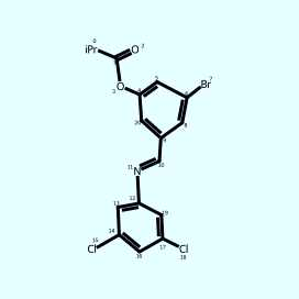 CC(C)C(=O)Oc1cc(Br)cc(C=Nc2cc(Cl)cc(Cl)c2)c1